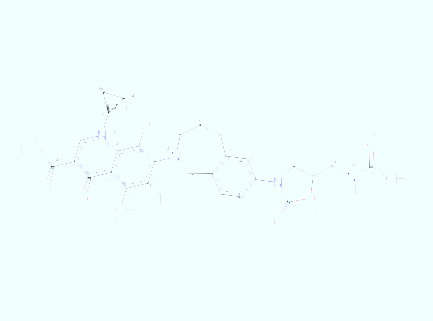 COc1c(N2CCCc3cc(N4CC(CNC(C)=O)OC4=O)ccc3C2)c(F)c(C)c2c(=O)c(C(=O)O)cn(C3CC3)c12